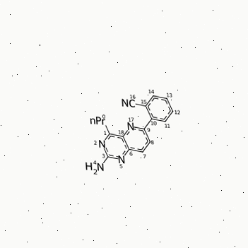 CCCc1nc(N)nc2ccc(-c3ccccc3C#N)nc12